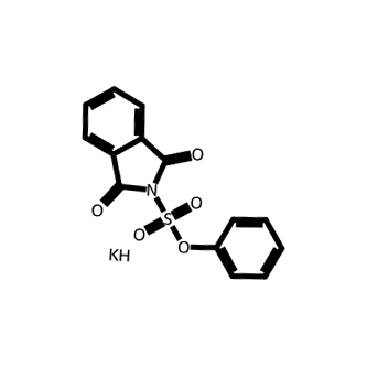 O=C1c2ccccc2C(=O)N1S(=O)(=O)Oc1ccccc1.[KH]